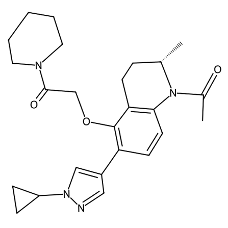 CC(=O)N1c2ccc(-c3cnn(C4CC4)c3)c(OCC(=O)N3CCCCC3)c2CC[C@@H]1C